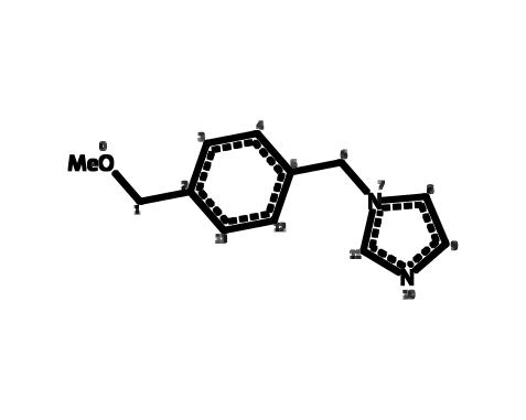 COCc1ccc(Cn2ccnc2)cc1